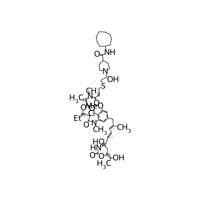 CC[C@H](CC(=O)N(C)c1cc(C/C(C)=C/C=C/C[C@@]2(O)C[C@@H](C(C)O)OC(=O)N2)cc(OC)c1Cl)OC(=O)[C@H](C)N(C)C(=O)CCSCC(O)N1CCC(C(=O)NC2CCCCCCCC2)CC1